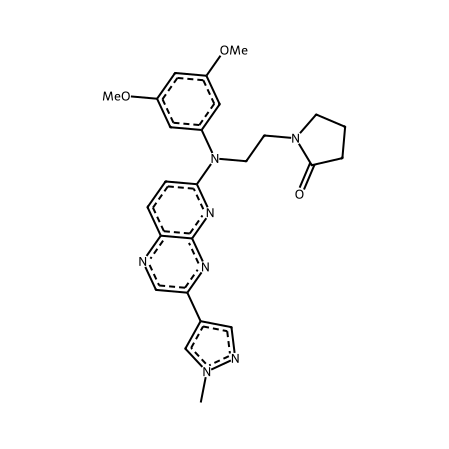 COc1cc(OC)cc(N(CCN2CCCC2=O)c2ccc3ncc(-c4cnn(C)c4)nc3n2)c1